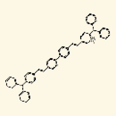 C=C(\C=C/C(=C\C)/C=C/c1ccc(-c2ccc(/C=C/c3ccc(N(C4=CCCC=C4)C4=CC=CCC4)cc3)cc2)cc1)N(c1ccccc1)c1ccccc1